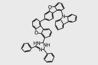 c1ccc(C2=NC(c3ccccc3)NC(c3cccc4c3oc3cccc(-c5ccc6c(c5)oc5cccc(-n7c8ccccc8c8ccccc87)c56)c34)N2)cc1